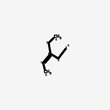 CC=C(CC)CI